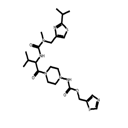 CC(C)c1nc(CN(C)C(=O)NC(C(=O)N2CCN(NC(=O)OCc3cncs3)CC2)C(C)C)cs1